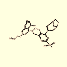 COCOc1cc(C2Cc3nc(S(C)(=O)=O)nc(C4CC5CCC(C5)C4)c3CO2)c2c(Br)cccc2c1